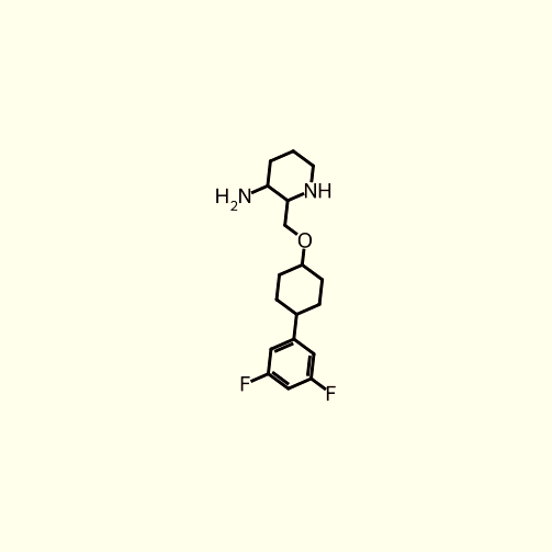 NC1CCCNC1COC1CCC(c2cc(F)cc(F)c2)CC1